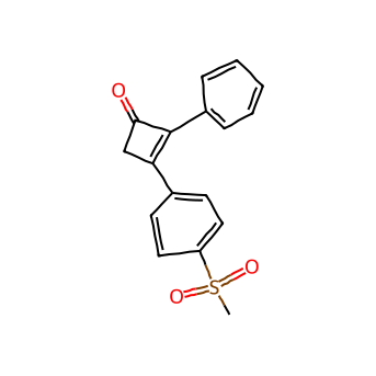 CS(=O)(=O)c1ccc(C2=C(c3ccccc3)C(=O)C2)cc1